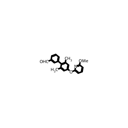 COc1cccc(Oc2cc(C)c(-c3cccc(C=O)c3)c(C)c2)n1